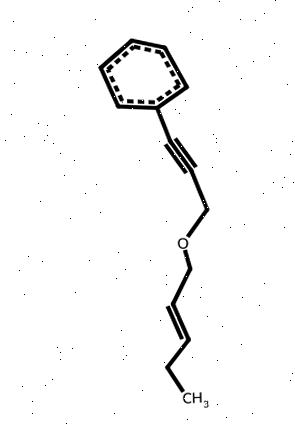 CCC=CCOCC#Cc1ccccc1